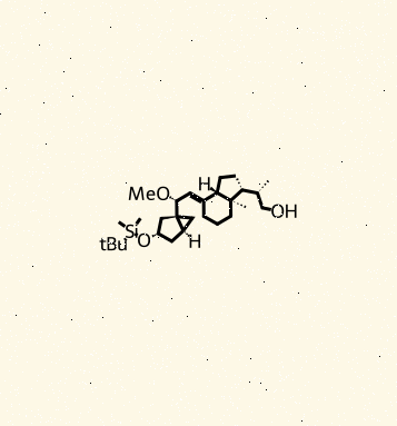 CO[C@H](/C=C1\CCC[C@]2(C)[C@@H]([C@H](C)CO)CC[C@@H]12)[C@@]12C[C@@H](O[Si](C)(C)C(C)(C)C)C[C@@H]1C2